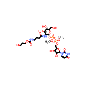 COP(=O)(OCC1OC(n2ccc(=O)[nH]c2=O)C(O)C1O)OP(=O)(OC)O[C@H]1OC(CO)[C@@H](O)[C@H](O)C1NC(=O)CCCNC(=O)OCCCO